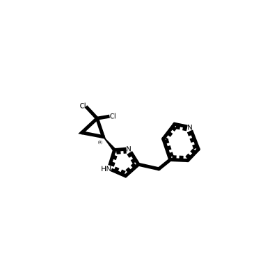 ClC1(Cl)C[C@@H]1c1nc(Cc2ccncc2)c[nH]1